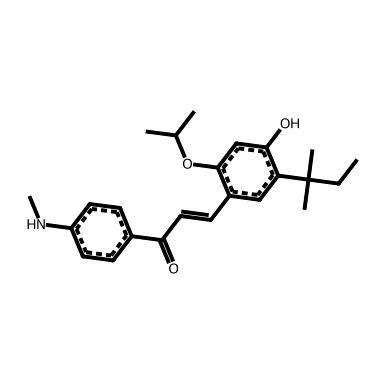 CCC(C)(C)c1cc(/C=C/C(=O)c2ccc(NC)cc2)c(OC(C)C)cc1O